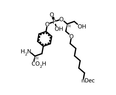 CCCCCCCCCCCCCCCCOC[C@H](CO)OP(=O)(O)Oc1ccc(C[C@H](N)C(=O)O)cc1